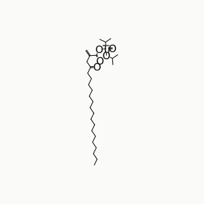 C=C(CC(=O)CCCCCCCCCCCCCCCCC)C(=O)[O][Ti](=[O])([O]C(C)C)[CH](C)C